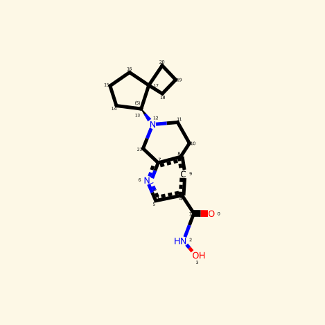 O=C(NO)c1cnc2c(c1)CCN([C@H]1CCCC13CCC3)C2